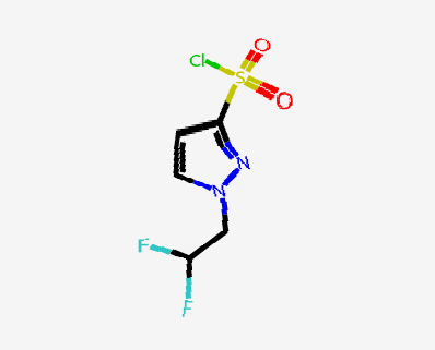 O=S(=O)(Cl)c1ccn(CC(F)F)n1